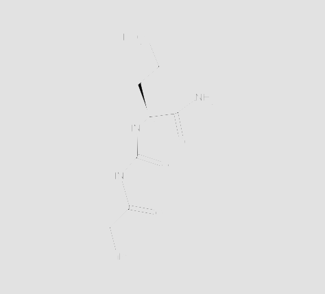 CC(C)CC(=O)NC(=O)N[C@@H](CCC(=O)O)C(N)=O